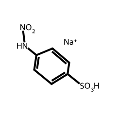 O=[N+]([O-])Nc1ccc(S(=O)(=O)O)cc1.[Na+]